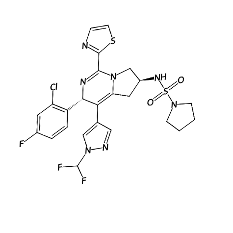 O=S(=O)(N[C@H]1CC2=C(c3cnn(C(F)F)c3)[C@H](c3ccc(F)cc3Cl)N=C(c3nccs3)N2C1)N1CCCC1